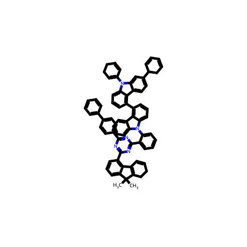 CC1(C)C2=C(C=CCC2)c2c(-c3nc(-c4ccc(-c5ccccc5)cc4)nc(-c4ccccc4-n4c5ccccc5c5c(-c6cccc7c6c6ccc(C8C=CC=CC8)cc6n7C6=CCCC=C6)cccc54)n3)cccc21